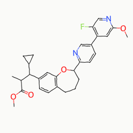 COC(=O)C(C)C(c1ccc2c(c1)OC(c1ccc(-c3cc(OC)ncc3F)cn1)CCC2)C1CC1